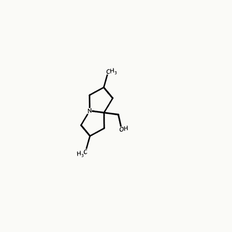 CC1CN2CC(C)CC2(CO)C1